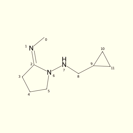 C/N=C1/CCCN1NCC1CC1